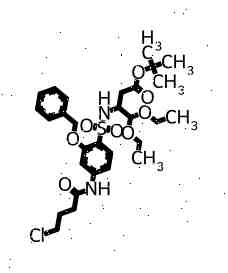 CCOC(OCC)C(CC(=O)OC(C)(C)C)NS(=O)(=O)c1ccc(NC(=O)CCCCl)cc1OCc1ccccc1